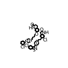 O=C1CCc2ccc(OCCCCN3CCN(c4cccc(Cl)c4Cl)CC3)cc2N1.O=C1Cc2cc(CCN3CCN(c4nsc5ccccc45)CC3)c(Cl)cc2N1